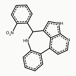 O=[N+]([O-])c1ccccc1C1Nc2ccccc2-c2ccnc3[nH]cc1c23